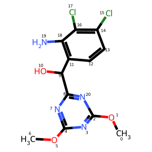 COc1nc(OC)nc(C(O)c2ccc(Cl)c(Cl)c2N)n1